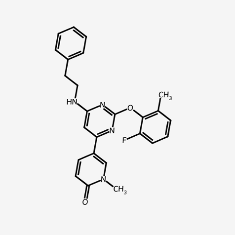 Cc1cccc(F)c1Oc1nc(NCCc2ccccc2)cc(-c2ccc(=O)n(C)c2)n1